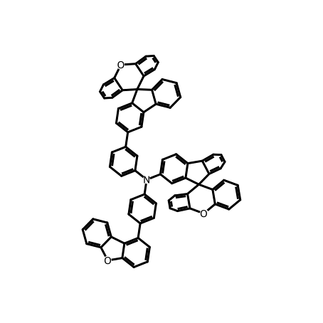 c1cc(-c2ccc3c(c2)-c2ccccc2C32c3ccccc3Oc3ccccc32)cc(N(c2ccc(-c3cccc4oc5ccccc5c34)cc2)c2ccc3c(c2)C2(c4ccccc4Oc4ccccc42)c2ccccc2-3)c1